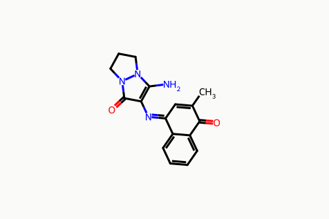 CC1=C/C(=N\c2c(N)n3n(c2=O)CCC3)c2ccccc2C1=O